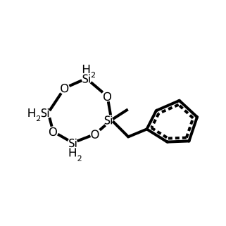 C[Si]1(Cc2ccccc2)O[SiH2]O[SiH2]O[SiH2]O1